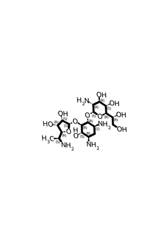 C[C@H](N)[C@H]1O[C@@H](O[C@@H]2[C@@H](O)[C@H](N)C[C@H](N)[C@H]2O[C@H]2O[C@H]([C@H](O)CO)[C@@H](O)[C@H](O)[C@H]2N)[C@@H](O)[C@H]1O